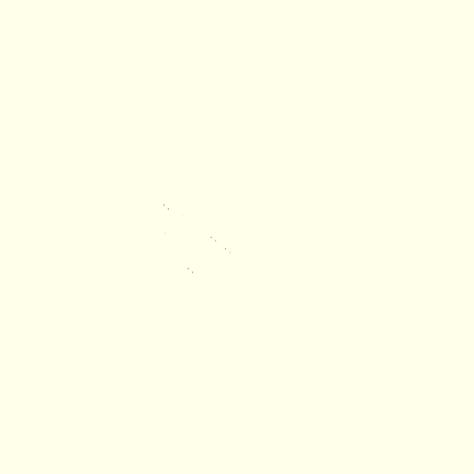 NC(=O)C1N=C2CCCC(c3cc(F)ccc3F)N2N1